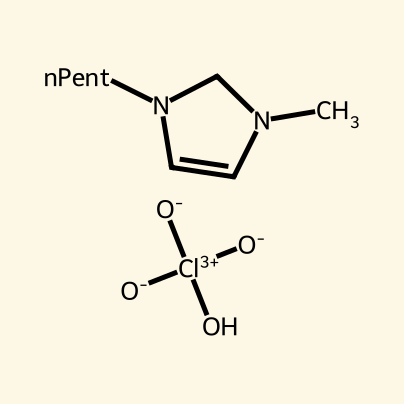 CCCCCN1C=CN(C)C1.[O-][Cl+3]([O-])([O-])O